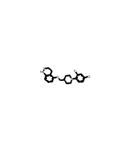 Fc1cc(Cl)ccc1N1CCC(COc2cccc3c2CCSN3)CC1